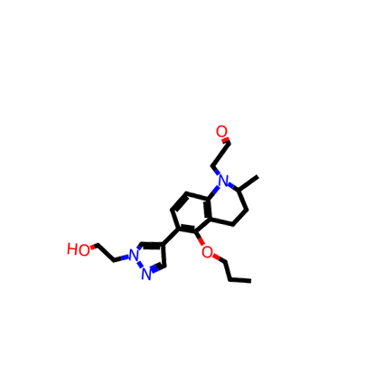 CCCOc1c(-c2cnn(CCO)c2)ccc2c1CCC(C)N2CC=O